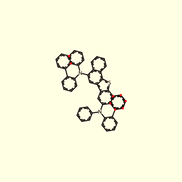 c1ccc(-c2ccccc2N(c2ccccc2)c2cc3c4cc(N(c5ccccc5)c5ccccc5-c5ccccc5)c5ccccc5c4sc3c3ccccc23)cc1